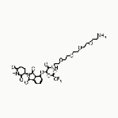 NCCOCCOCCOCCOCCNC(=O)C(OC(=O)C(F)(F)F)Oc1cccc2c1C(=O)N(C1CCC(=O)NC1=O)C2=O